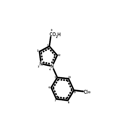 O=C(O)c1cnn(-c2cccc(Cl)c2)c1